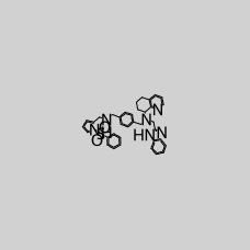 O=S(=O)(c1ccccc1)n1cccc1CNCc1ccc(CN(Cc2nc3ccccc3[nH]2)C2CCCc3cccnc32)cc1